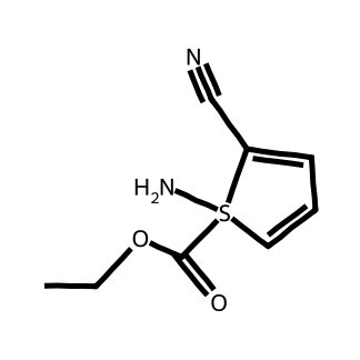 CCOC(=O)S1(N)C=CC=C1C#N